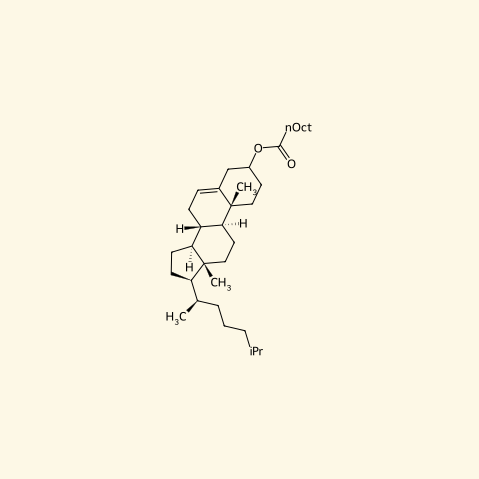 CCCCCCCCC(=O)OC1CC[C@@]2(C)C(=CC[C@H]3[C@@H]4CC[C@H]([C@H](C)CCCC(C)C)[C@@]4(C)CC[C@@H]32)C1